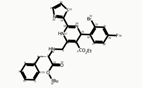 CCOC(=O)C1=C(CN[C@@H](Cc2ccccc2)C(=O)OC(C)(C)C)NC(c2nccs2)=NC1c1ccc(F)cc1Br